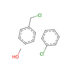 CO.ClCc1ccccc1.Clc1ccccc1